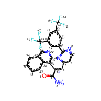 NC(=O)/C(=C/c1ccnc(-c2cc(C(F)(F)F)cc(C(F)(F)F)c2)n1)c1cncc2ccccc12